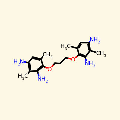 Cc1cc(N)c(C)c(N)c1OCCCOc1c(C)cc(N)c(C)c1N